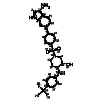 Nc1n[nH]c2cc(-c3ccc(S(=O)(=O)N4CC[C@@H](Nc5ccc(C(F)(F)F)cn5)[C@@H](O)C4)cc3)ccc12